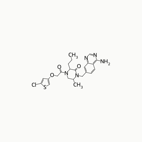 CCCC1C(=O)N(Cc2ccc3c(N)ncnc3c2)C(C)CN1C(=O)COc1csc(Cl)c1